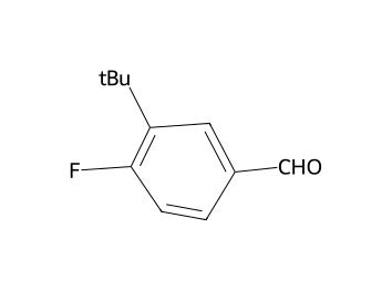 CC(C)(C)c1cc(C=O)ccc1F